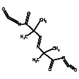 CC(C)(N=NC(C)(C)C(=O)N=C=O)C(=O)N=C=O